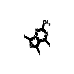 Cc1nc(I)c2c(I)nc(I)n2n1